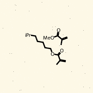 C=C(C)C(=O)OC.C=C(C)C(=O)OCCCCCC(C)C